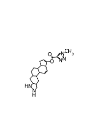 Cn1cc(C(=O)OC2=CCC3C2C=CC2C4CC5CNNC5CC4CCC23)nn1